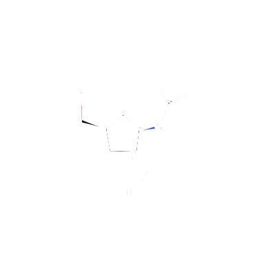 O=C(O)N[C@@H]1C[C@H](CO)C[C@H]1CO